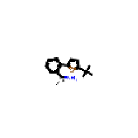 C[C@@H](N)c1ccccc1-c1ccc(C(C)(C)C)s1